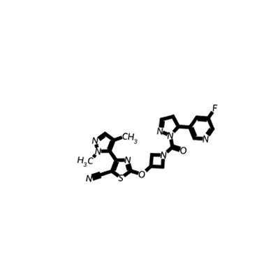 Cc1cnn(C)c1-c1nc(OC2CN(C(=O)N3N=CCC3c3cncc(F)c3)C2)sc1C#N